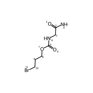 [NH]C(=O)CNC(=O)OCCCBr